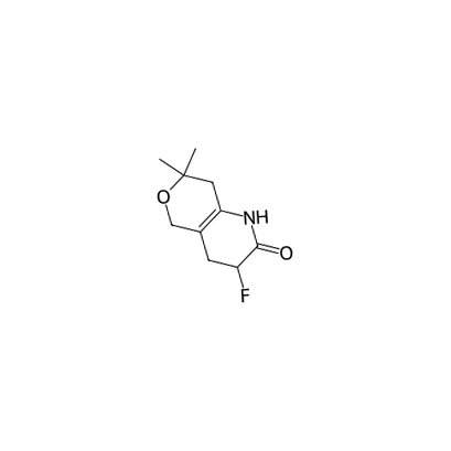 CC1(C)CC2=C(CO1)CC(F)C(=O)N2